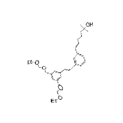 CCOCOCc1cc(/C=C/c2cccc(CCCCCC(C)(C)O)c2)cc(OCOCC)c1